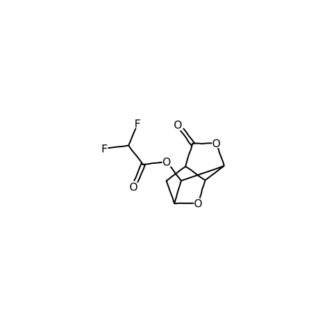 O=C(OC1C2CC3C(=O)OC1C3O2)C(F)F